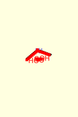 CCCCCCCCCCCCCCCC[N+](C)(C)CCCCCCCCCCCCCCCC.O=C(O)CCCCC(=O)O